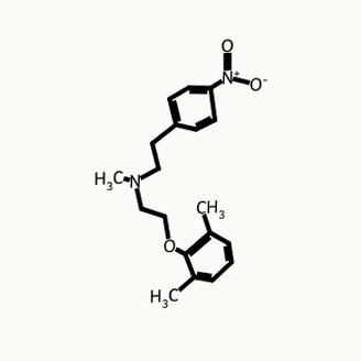 Cc1cccc(C)c1OCCN(C)CCc1ccc([N+](=O)[O-])cc1